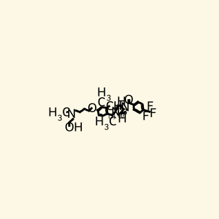 Cc1c(OCCCCN(C)CCO)ccc([C@H](C)N2C[C@@H]3C[C@H]2CN3C(=O)c2ccc(C(F)(F)F)cc2)c1C